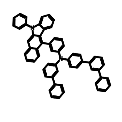 c1ccc(-c2cccc(-c3ccc(N(c4cccc(-c5ccccc5)c4)c4cccc(-c5c6ccccc6cc6c5c5ccccc5n6-c5ccccc5)c4)cc3)c2)cc1